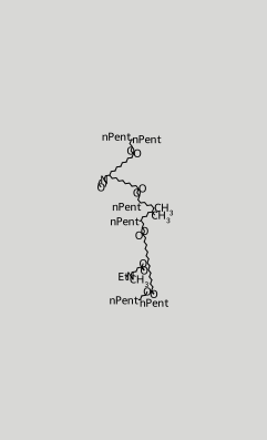 CCCCCC(CCCCC)CCOC(=O)CCCCCCCCC(CCCCCCCCC(=O)OCCC(CCCCC)CCCC(C)C(C)CCCC(CCCCC)CCOC(=O)CCCCCCCC(CCCCCCCC(=O)OCCC(CCCCC)CCCCC)OC(=O)CCCN(C)CC)CN1CCOCC1